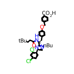 CCCCn1cc(-c2ccc(Cl)cc2Cl)nc1[C@H](Cc1ccc(OCc2ccc(C(=O)O)cc2)cc1)NC(=O)CCC(C)(C)C